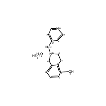 Br.O.Oc1cccc2c1CCN(Nc1ccncc1)C2